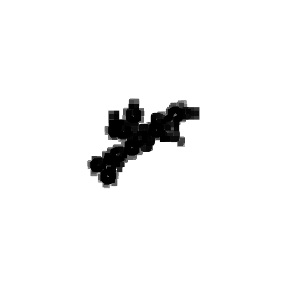 CC(C)c1ccccc1[C@@H]1CCCN1C1CC2(CCN(c3ccc(C(=O)NS(=O)(=O)c4cc5c(c([N+](=O)[O-])c4)N[C@@H]([C@H]4CC[C@](C)(O)CC4)CO5)c(Oc4cc5cc[nH]c5nc4OC4CCN(C)CC4)c3)CC2)C1